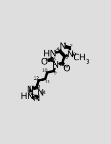 Cn1cnc2[nH]c(=O)n(CCCCc3nn[nH]n3)c(=O)c21